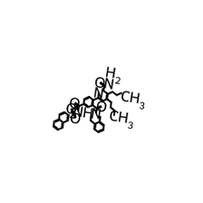 CCCCc1cc(-c2ccc(C(=O)NS(=O)(=O)c3ccc4ccccc4c3)cc2C(=O)N2CCc3ccccc3C2)nc(C(N)=O)c1CCCC